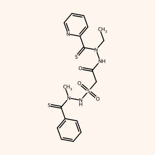 CCN(NC(=O)CS(=O)(=O)NN(C)C(=S)c1ccccc1)C(=S)c1ccccn1